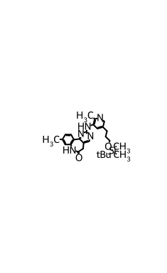 Cc1ccc2c(c1)NC(=O)Cc1cnc(Nc3cc(CCCO[Si](C)(C)C(C)(C)C)cnc3C)nc1-2